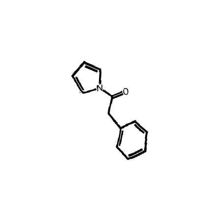 O=C(Cc1ccccc1)n1[c]ccc1